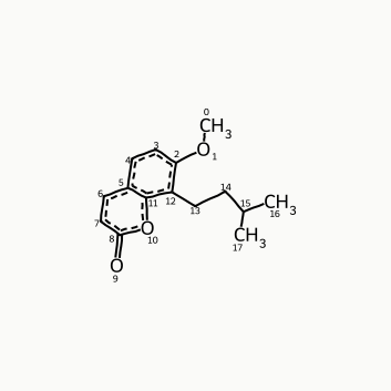 COc1ccc2ccc(=O)oc2c1CCC(C)C